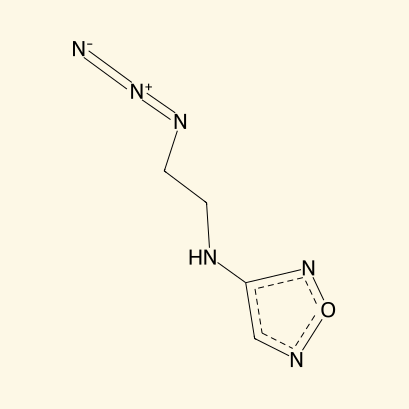 [N-]=[N+]=NCCNc1cnon1